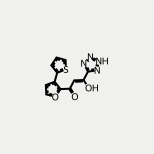 O=C(C=C(O)c1nn[nH]n1)c1occc1-c1cccs1